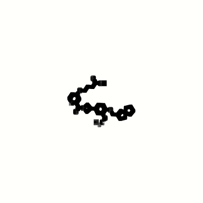 COc1cc(C2CN(C(=O)c3cc(OCCCC(=O)O)ccn3)C2)ccc1OCC1=CC2(CCCC2)CC1